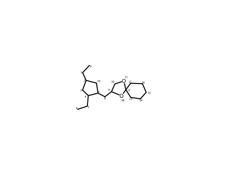 CCC1CC(CC)C(CC2COC3(CCCCC3)O2)C1